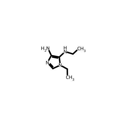 CCNc1c(N)ncn1CC